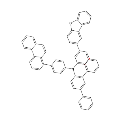 c1ccc(-c2ccc(N(c3ccc(-c4cccc5c4ccc4ccccc45)cc3)c3cccc(-c4ccc5oc6ccccc6c5c4)c3)c(-c3ccccc3)c2)cc1